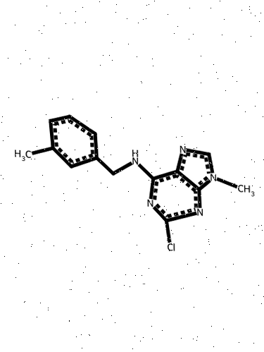 Cc1cccc(CNc2nc(Cl)nc3c2ncn3C)c1